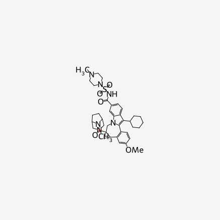 COc1ccc2c(c1)C1CC1(C(=O)N1C3CCC1CN(C)C3)Cn1c-2c(C2CCCCC2)c2ccc(C(=O)NS(=O)(=O)N3CCN(C)CC3)cc21